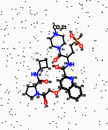 CCOC(=O)N1CCN(C(=O)C(CCS(C)(=O)=O)NC(=O)c2cc(OCC(=O)N3CCCC3C(=O)NC3CCC3)c3ccccc3n2)CC1